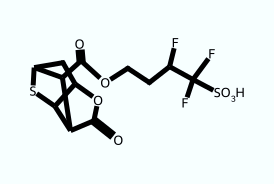 O=C(OCCC(F)C(F)(F)S(=O)(=O)O)C1C2CC3OC(=O)C1C3S2